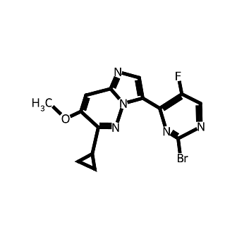 COc1cc2ncc(-c3nc(Br)ncc3F)n2nc1C1CC1